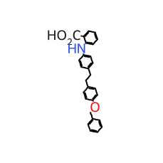 O=C(O)c1ccccc1Nc1ccc(CCc2ccc(OCc3ccccc3)cc2)cc1